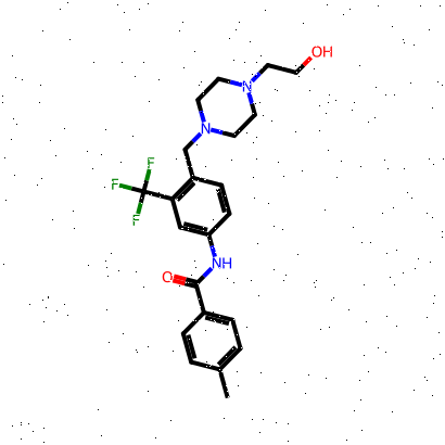 Cc1ccc(C(=O)Nc2ccc(CN3CCN(CCO)CC3)c(C(F)(F)F)c2)cc1